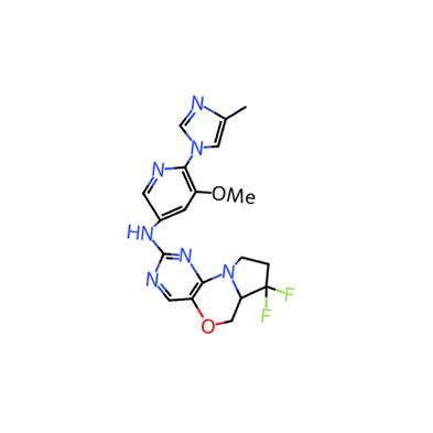 COc1cc(Nc2ncc3c(n2)N2CCC(F)(F)C2CO3)cnc1-n1cnc(C)c1